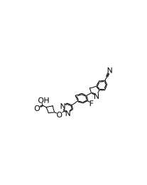 N#Cc1ccc2c(c1)CC(c1ccc(-c3cnc(OC4CC(C(=O)O)C4)nc3)cc1F)=N2